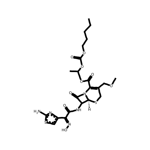 CCCCCOC(=O)OC(C)OC(=O)C1=C(COC)CS[C@H]2C(NC(=O)C(=NO)c3csc(N)n3)C(=O)N12